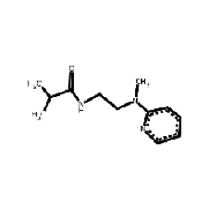 CC(C)C(=O)NCCN(C)c1ccccn1